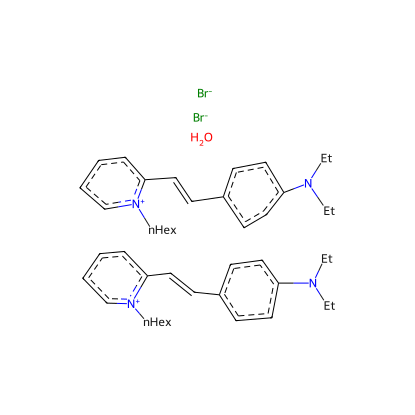 CCCCCC[n+]1ccccc1C=Cc1ccc(N(CC)CC)cc1.CCCCCC[n+]1ccccc1C=Cc1ccc(N(CC)CC)cc1.O.[Br-].[Br-]